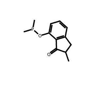 CC1Cc2cccc(OP(C)C)c2C1=O